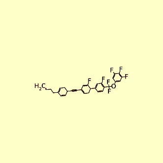 C=CCCC1=CCC(C#CC2=CCC(c3ccc(C(F)(F)Oc4cc(F)c(F)c(F)c4)c(F)c3)C(F)=C2)C=C1